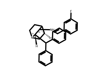 Fc1cccc(CN[C@@H]2C3CCN(CC3)[C@H]2C(c2ccccc2)c2ccccc2)c1